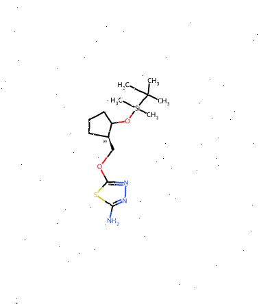 CC(C)(C)[Si](C)(C)OC1CCC[C@@H]1COc1nnc(N)s1